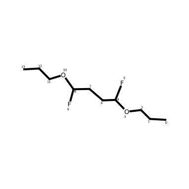 CCCOC(F)CCC(F)OCCC